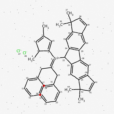 CC1=CC(C)[C]([Zr+2](=[C](Cc2ccccc2)Cc2ccccc2)[CH]2c3cc4c(cc3-c3cc5c(cc32)C(C)(C)C=C5)C=CC4(C)C)=C1.[Cl-].[Cl-]